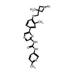 CC(=O)N1CC(C)(COc2ccc(-c3cncc(NC(=O)Nc4ccc(C)nc4)n3)cc2C)C1